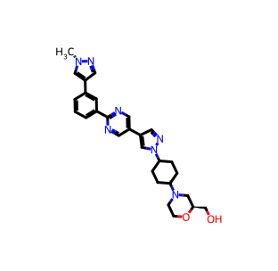 Cn1cc(-c2cccc(-c3ncc(-c4cnn(C5CC[C](N6CCO[C@H](CO)C6)CC5)c4)cn3)c2)cn1